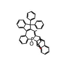 C=C/C=C\C1=C(C)C2=C(c3ccccc3C2(c2ccccc2)c2ccccc2)c2ccccc2P1(=O)c1ccc2ccccc2c1